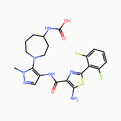 Cn1ncc(NC(=O)c2nc(-c3c(F)cccc3F)sc2N)c1N1CCCC(NC(=O)O)CC1